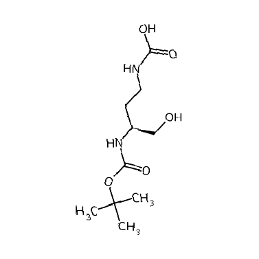 CC(C)(C)OC(=O)N[C@H](CO)CCNC(=O)O